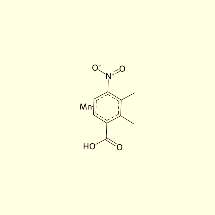 Cc1c(C(=O)O)ccc([N+](=O)[O-])c1C.[Mn]